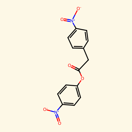 O=C(Cc1ccc([N+](=O)[O-])cc1)Oc1ccc([N+](=O)[O-])cc1